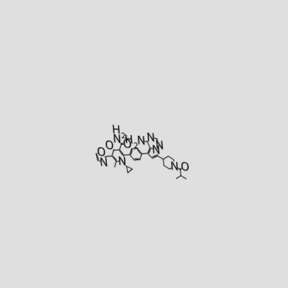 Cc1c(-c2ncco2)c(=O)c(C(N)=O)c(-c2ccc(-c3cc(C4CCN(C(=O)C(C)C)CC4)n4ncnc(N)c34)cc2)n1C1CC1